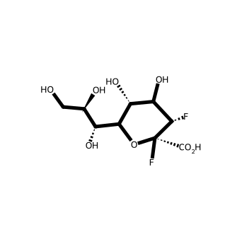 O=C(O)[C@]1(F)OC([C@H](O)[C@H](O)CO)[C@H](O)C(O)[C@@H]1F